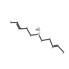 CC=CCCOCCC=CC.Cl